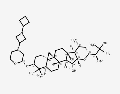 CC(=O)O[C@@H]([C@H]1C[C@@H](C)[C@H]2[C@H](O1)[C@H](O)[C@@]1(C)[C@@H]3CC[C@H]4C(C)(C)[C@@H](O[C@H]5CN(C6CN(C7CCC7)C6)CCO5)CC[C@@]45C[C@@]35CC[C@]21C)C(C)(C)O